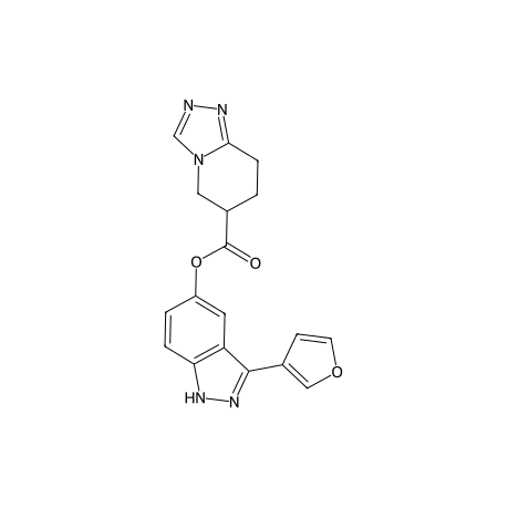 O=C(Oc1ccc2[nH]nc(-c3ccoc3)c2c1)C1CCc2nncn2C1